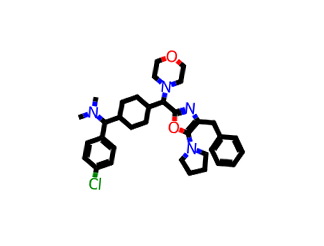 CN(C)C(c1ccc(Cl)cc1)C1CCC(C(c2nc(Cc3ccccc3)c(N3CCCC3)o2)N2CCOCC2)CC1